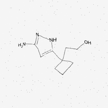 Nc1cc(C2(CCO)CCC2)[nH]n1